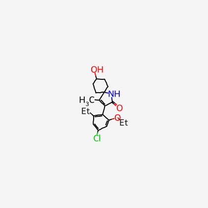 CCOc1cc(Cl)cc(CC)c1C1=C(C)C2(CCC(O)CC2)NC1=O